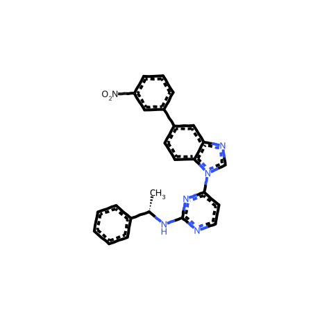 C[C@H](Nc1nccc(-n2cnc3cc(-c4cccc([N+](=O)[O-])c4)ccc32)n1)c1ccccc1